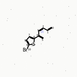 C=C/C=C\C(=C)c1ccc(Br)s1